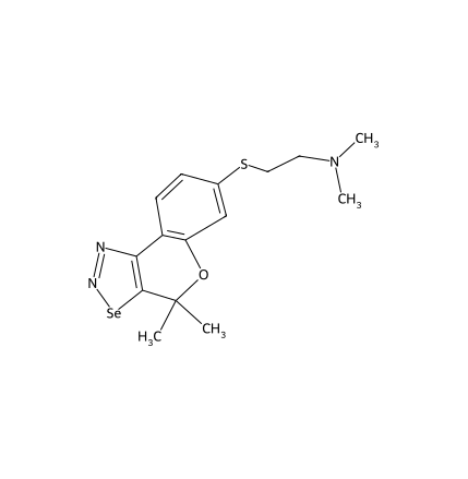 CN(C)CCSc1ccc2c(c1)OC(C)(C)c1[se]nnc1-2